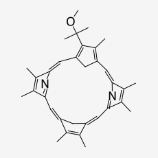 COC(C)(C)C1=C2/C=C3N=C(/C=C4\C/C(=C\C5=NC(=C\C(=C1C)C2)/C(C)=C5C)C(C)=C4C)C(C)=C\3C